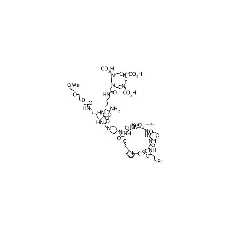 CC[C@H](C)[C@@H]1NC(=O)[C@H](CC(C)C)NC(=O)C2(CCOCC2)NC(=O)C(NC(=O)CCC(C)C)CSCc2cccc(n2)CSC[C@@H](C(=O)NC2CCN(CC(=O)N[C@H](CCCCNC(=O)COCCOCCOC)C(=O)N[C@@H](CCCCNC(=O)CN3CCN(CC(=O)O)CCN(CC(=O)O)CCN(CC(=O)O)CC3)C(N)=O)CC2)NC1=O